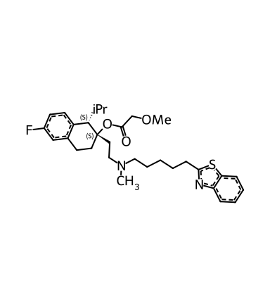 COCC(=O)O[C@]1(CCN(C)CCCCCc2nc3ccccc3s2)CCc2cc(F)ccc2[C@@H]1C(C)C